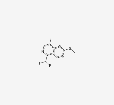 CSc1ncc2c(C(F)F)ncc(C)c2n1